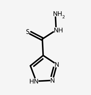 NNC(=S)c1c[nH]nn1